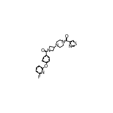 O=C(c1ccc(Oc2cccc(F)n2)cc1)N1CC(N2CCN(C(=O)c3cscn3)CC2)C1